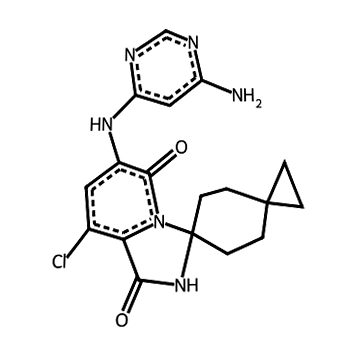 Nc1cc(Nc2cc(Cl)c3n(c2=O)C2(CCC4(CC4)CC2)NC3=O)ncn1